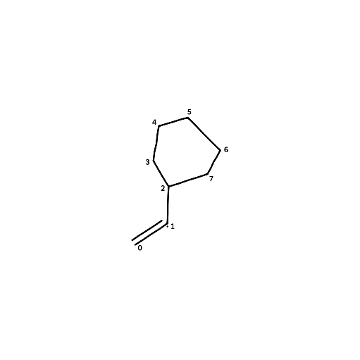 C=[C]C1CCCCC1